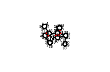 c1ccc(-c2ccc(N(c3ccc4c5c(-c6ccccc6)cccc5n(-c5ccccc5)c4c3)c3ccccc3-c3ccccc3)c(-c3ccccc3)c2)cc1